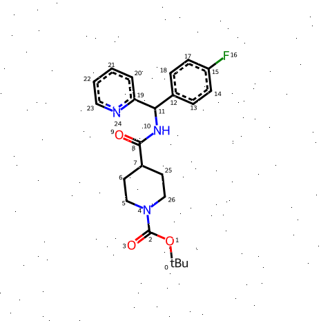 CC(C)(C)OC(=O)N1CCC(C(=O)NC(c2ccc(F)cc2)c2ccccn2)CC1